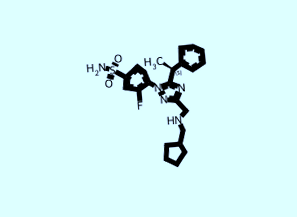 C[C@@H](c1ccccc1)c1nc(CNCC2CCCC2)nn1-c1ccc(S(N)(=O)=O)cc1F